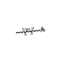 CCCCCNC(=O)C(N)CCC(=O)NCCCCO[N+](=O)[O-]